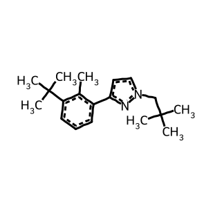 Cc1c(-c2ccn(CC(C)(C)C)n2)cccc1C(C)(C)C